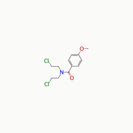 COc1ccc(C(=O)N(CCCl)CCCl)cc1